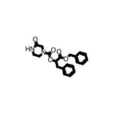 O=C1CN(C(=O)OC(Cc2ccccc2)C(=O)OCc2ccccc2)CCN1